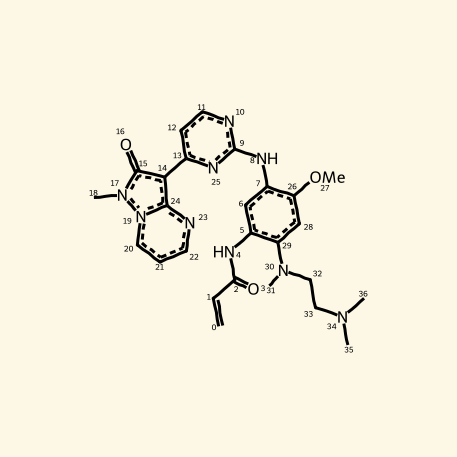 C=CC(=O)Nc1cc(Nc2nccc(-c3c(=O)n(C)n4cccnc34)n2)c(OC)cc1N(C)CCN(C)C